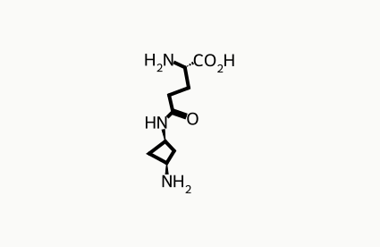 N[C@@H](CCC(=O)N[C@H]1C[C@@H](N)C1)C(=O)O